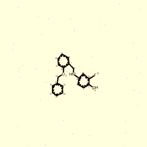 Oc1ccc(NCc2ccccc2OCc2ccccc2)cc1F